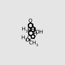 CC(=O)[C@H]1CC[C@H]2[C@@H]3C(O)=CC4=CC(=O)CC[C@]4(C)[C@H]3CC[C@]12C